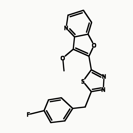 COc1c(-c2nnc(Cc3ccc(F)cc3)s2)oc2cccnc12